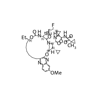 CC[C@@H]1CCCCCCc2nc3ccc(OC)cc3nc2O[C@H]2CN(C(=O)[C@H](C(C)(C)C)NC(=O)O1)[C@H](C(=O)N[C@]1(C(=O)NS(=O)(=O)C3(C)CC3)C[C@H]1C(F)F)[C@@H]2C1CC1